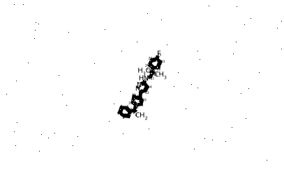 C=C(c1ccccc1)c1ccc(-c2ccc(NCC(C)(C)c3ccc(F)cc3)nn2)cc1